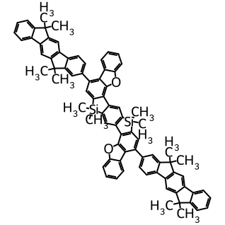 CC1(C)c2ccccc2-c2cc3c(cc21)-c1ccc(-c2cc4c(c5oc6ccccc6c25)-c2cc5c(cc2[Si]4(C)C)-c2c(cc(-c4ccc6c(c4)C(C)(C)c4cc7c(cc4-6)C(C)(C)c4ccccc4-7)c4c2oc2ccccc24)[Si]5(C)C)cc1C3(C)C